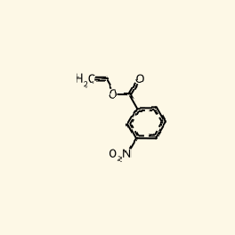 C=COC(=O)c1cccc([N+](=O)[O-])c1